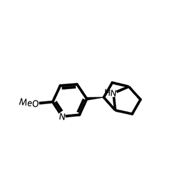 COc1ccc([C@H]2CC3CCC2N3)cn1